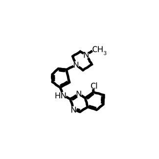 CN1CCN(c2cccc(Nc3ncc4cccc(Cl)c4n3)c2)CC1